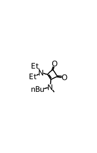 CCCCN(C)c1c(N(CC)CC)c(=O)c1=O